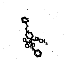 COCC1(N(OCc2ccccc2)C(C)=O)CCN(CCc2cccs2)CC1